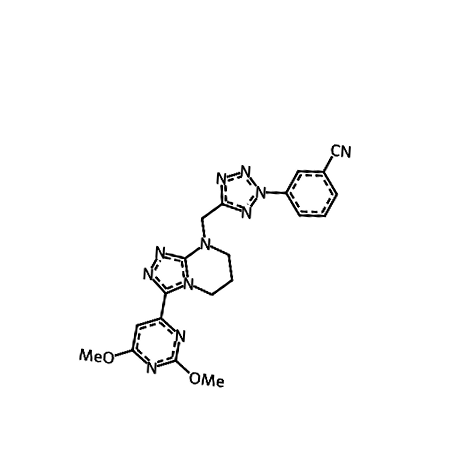 COc1cc(-c2nnc3n2CCCN3Cc2nnn(-c3cccc(C#N)c3)n2)nc(OC)n1